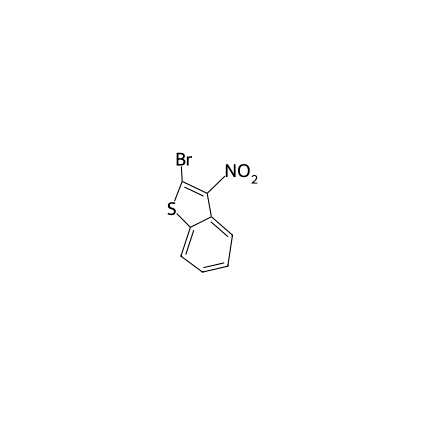 O=[N+]([O-])c1c(Br)sc2ccccc12